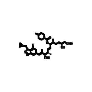 C/C(=C\c1cc(F)c2c(c1)nnn2CC1CC1)[C@@H](C=O)[C@@H](C)/C=C/[C@H](OC(=O)N1CCN(C)CC1)[C@@H](C)CC[C@@H](O)CC=O